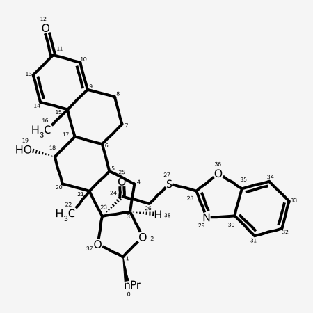 CCC[C@@H]1O[C@@H]2CC3C4CCC5=CC(=O)C=CC5(C)C4[C@@H](O)CC3(C)[C@]2(C(=O)CSc2nc3ccccc3o2)O1